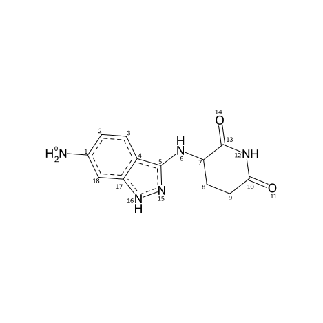 Nc1ccc2c(NC3CCC(=O)NC3=O)n[nH]c2c1